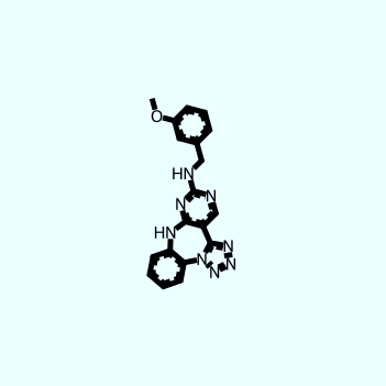 COc1cccc(CNc2ncc3c(n2)Nc2ccccc2-n2nnnc2-3)c1